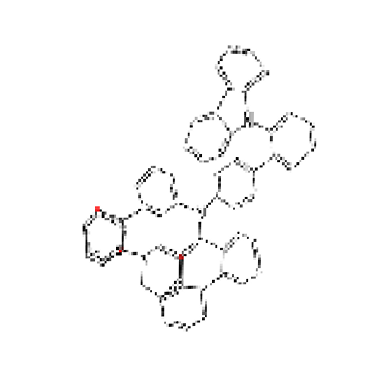 c1ccc(-c2ccccc2-c2c(-c3ccccc3)cccc2N(c2ccc(-c3ccccc3-n3c4ccccc4c4ccccc43)cc2)c2cc3ccccc3c3ccccc23)cc1